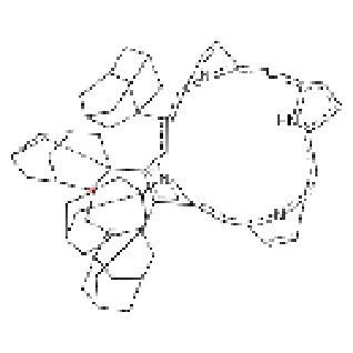 C1=Cc2cc3c(C45CC6CC(CC(C6)C4)C5)c(C45CC6CC(CC(C6)C4)C5)c(c(C45CC6CC(CC(C6)C4)C5)c4nc(cc5ccc(cc1n2)[nH]5)C=C4)n3C12CC3CC(CC(C3)C1)C2